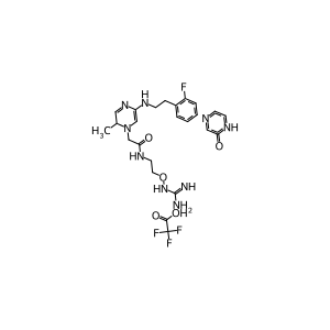 CC1C=NC(NCCc2ccccc2F)=CN1CC(=O)NCCONC(=N)N.O=C(O)C(F)(F)F.O=c1cncc[nH]1